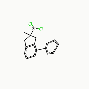 C[C]1([Zr]([Cl])[Cl])Cc2cccc(-c3ccccc3)c2C1